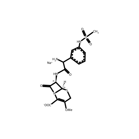 COC1=C(C(=O)[O-])N2C(=O)[C@@H](NC(=O)C(N)c3cccc(NS(C)(=O)=O)c3)[C@H]2SC1.[Na+]